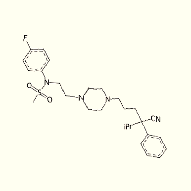 CC(C)C(C#N)(CCCN1CCN(CCN(c2ccc(F)cc2)S(C)(=O)=O)CC1)c1ccccc1